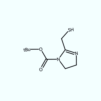 CC(C)(C)OC(=O)N1CCN=C1CS